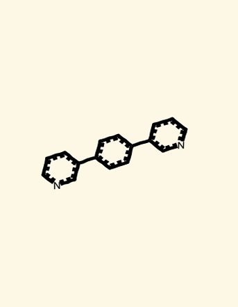 c1cncc(-c2ccc(-c3cccnc3)cc2)c1